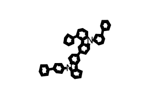 c1ccc(-c2ccc(-n3c4ccccc4c4cc(-c5ccc6c(c5)c5c(-c7ccccc7)cccc5n6-c5cccc(-c6ccccc6)c5)ccc43)cc2)cc1